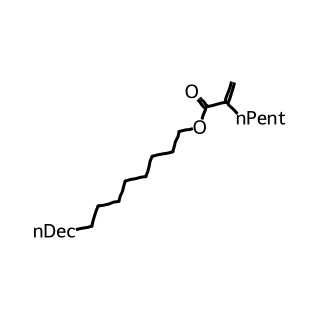 C=C(CCCCC)C(=O)OCCCCCCCCCCCCCCCCCC